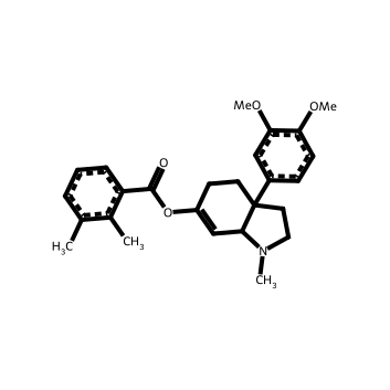 COc1ccc(C23CCC(OC(=O)c4cccc(C)c4C)=CC2N(C)CC3)cc1OC